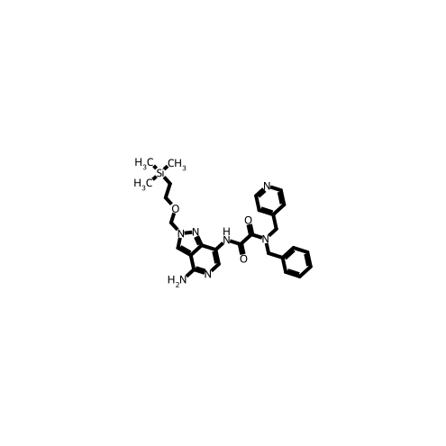 C[Si](C)(C)CCOCn1cc2c(N)ncc(NC(=O)C(=O)N(Cc3ccccc3)Cc3ccncc3)c2n1